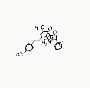 CCCc1ccc(CCC(CC(C)C(=O)OC(=O)[C@@H](N)Cc2ccccn2)C(=O)O)cc1